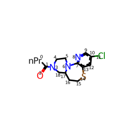 CCCC(=O)N1CCN2c3ncc(Cl)cc3SCCC2C1